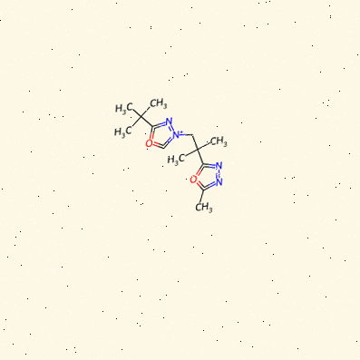 Cc1nnc(C(C)(C)C[n+]2coc(C(C)(C)C)n2)o1